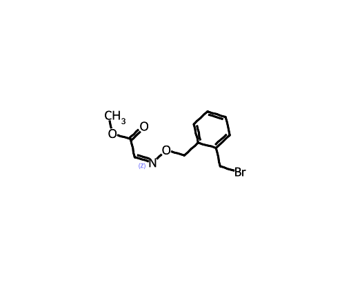 COC(=O)/C=N\OCc1ccccc1CBr